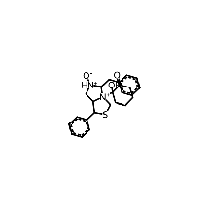 O=C1CCCCC1(O)[N+]12CSC(c3ccccc3)C1C[NH+]([O-])C2Cc1ccccc1